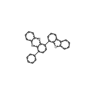 c1ccc(-c2ccc(-c3cccc4c3oc3ccccc34)c3nc4ccccc4nc23)cc1